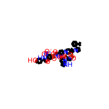 CC(C)c1ccccc1[C@H]1CCCN1C1CC2(CCN(c3ccc(C(=O)NS(=O)(=O)c4cc5c(c([N+](=O)[O-])c4)N[C@@H](C4CCC(C)(O)CC4)CO5)c(Oc4cc5cc[nH]c5nc4OC[C@@H]4CCN4S(C)(=O)=O)c3)CC2)C1